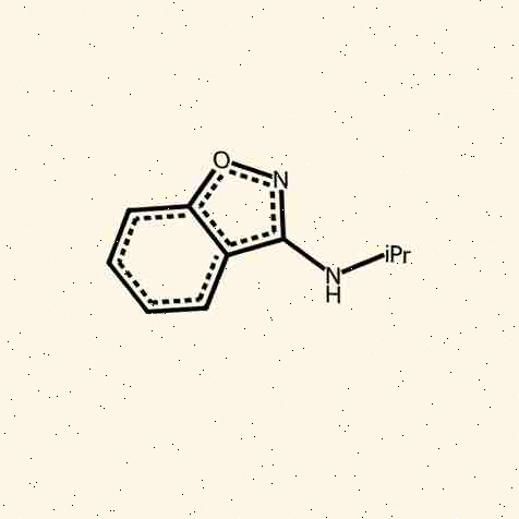 CC(C)Nc1noc2ccccc12